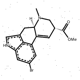 COC(=O)[C@@H]1C=C2c3cc(Br)cc4[nH]cc(c34)C[C@H]2N(C)C1